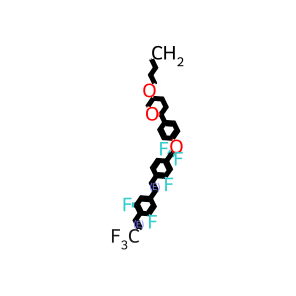 C=CCCCOC1CCC(c2ccc(OC(F)(F)c3ccc(/C=C/c4cc(F)c(/C=C/C(F)(F)F)c(F)c4)c(F)c3)cc2)OC1